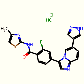 Cc1csc(NC(=O)c2ccc(-c3cnc4ccc(-c5cn[nH]c5)cn34)cc2F)n1.Cl.Cl